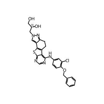 OC[C@@H](O)Cn1cc2c(n1)CCc1c-2sc2ncnc(Nc3ccc(OCc4ccccc4)c(Cl)c3)c12